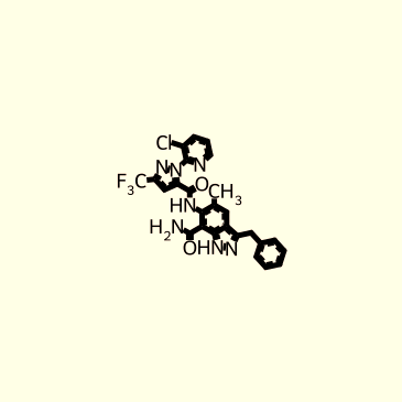 Cc1cc2c(Cc3ccccc3)n[nH]c2c(C(N)=O)c1NC(=O)c1cc(C(F)(F)F)nn1-c1ncccc1Cl